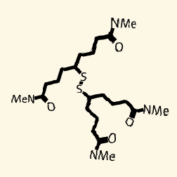 CNC(=O)CCCC(CCCC(=O)NC)SSC(CCCC(=O)NC)CCCC(=O)NC